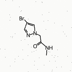 CNC(=O)Cn1cc(Br)cn1